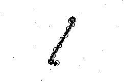 CC(=O)c1cccc(COCCOCCOCCOCCOCCOCCOC2CCCCO2)c1